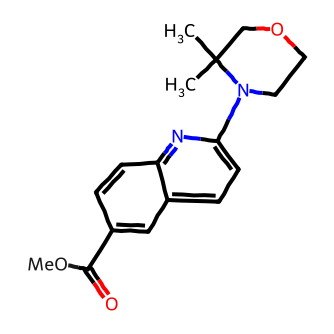 COC(=O)c1ccc2nc(N3CCOCC3(C)C)ccc2c1